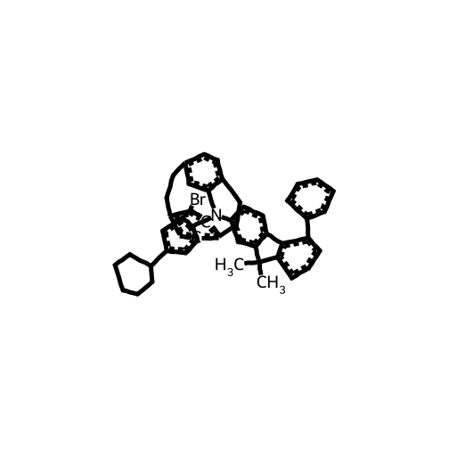 CC1(C)c2cc(N(c3ccc(C4CCCCC4)cc3)c3cc4ccc3CCc3ccc(c(Br)c3)CC4)ccc2-c2c(-c3ccccc3)cccc21